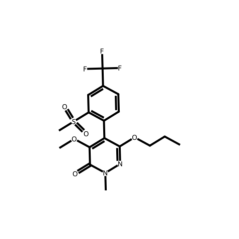 CCCOc1nn(C)c(=O)c(OC)c1-c1ccc(C(F)(F)F)cc1S(C)(=O)=O